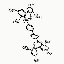 CC(C)(C)c1cc(C(C)(C)C)c2op(C3=CC=C(c4ccc(-p5oc6c(C(C)(C)C)cc(C(C)(C)C)cc6c6cc(C(C)(C)C)cc(C(C)(C)C)c6o5)cc4)CC3)oc3c(C(C)(C)C)cc(C(C)(C)C)cc3c2c1